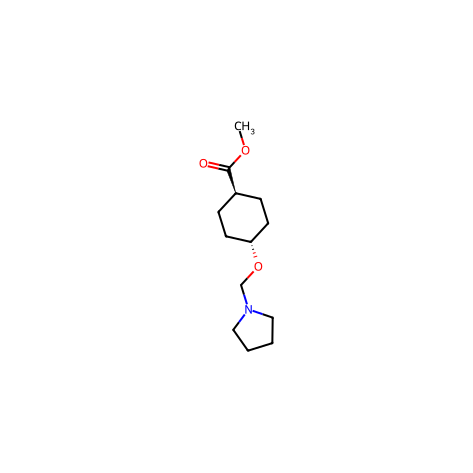 COC(=O)[C@H]1CC[C@H](OCN2CCCC2)CC1